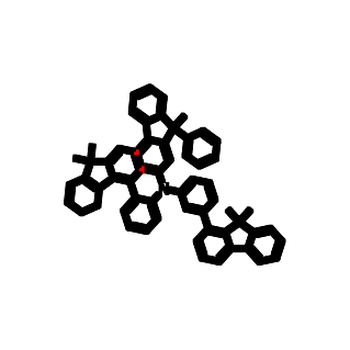 CC1(C)C2=C(CCC=C2)c2c(-c3ccccc3N(c3cccc(-c4cccc5c4C(C)(C)c4ccccc4-5)c3)c3ccc4c(c3)C(C)(c3ccccc3)c3ccccc3-4)cccc21